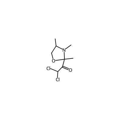 CC1COC(C)(C(=O)C(Cl)Cl)N1C